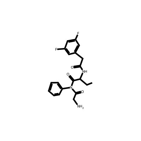 CCC(NC(=O)Cc1cc(F)cc(F)c1)C(=O)N(C(=O)CN)c1ccccc1